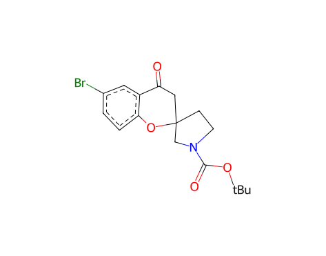 CC(C)(C)OC(=O)N1CCC2(CC(=O)c3cc(Br)ccc3O2)C1